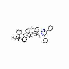 CC1(C)c2cc(-c3nc(-c4ccccc4)cc(-c4ccccc4)n3)ccc2Sc2ccc(C3c4ccccc4C(C)(C)c4ccccc43)cc21